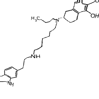 CCCN(CCCCCCNCCc1ccc2sc(=O)[nH]c2c1)[C@H]1CCc2c(ccc(O)c2O)C1